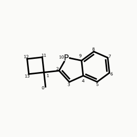 CC1(C2=Cc3ccccc3[P]2)CCC1